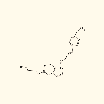 O=C(O)CCCN1CCc2c(cccc2OC/C=C/c2ccc(CC(F)(F)F)cc2)C1